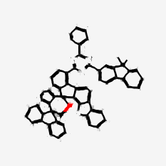 CC1(C)c2ccccc2-c2ccc(-c3nc(-c4ccccc4)nc(-c4cccc5c4-c4ccc6c(sc7ccccc76)c4C54c5ccccc5C5(c6ccccc6-c6ccccc65)c5ccccc54)n3)cc21